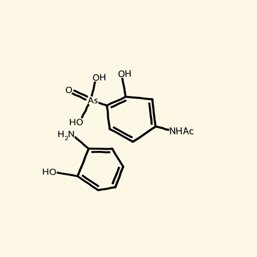 CC(=O)Nc1ccc([As](=O)(O)O)c(O)c1.Nc1ccccc1O